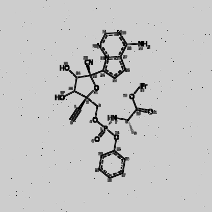 C#C[C@]1(CO[P@@](=O)(N[C@@H](C)C(=O)OC(C)C)Oc2ccccc2)O[C@@](C#N)(c2ccc3c(N)ncnn23)C(O)C1O